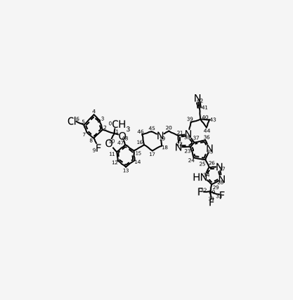 CC1(c2ccc(Cl)cc2F)Oc2cccc(C3CCN(Cc4nc5cc(-c6nnc(C(F)(F)F)[nH]6)ncc5n4CC4(C#N)CC4)CC3)c2O1